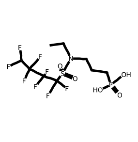 CCN(CCCP(=O)(O)O)S(=O)(=O)C(F)(F)C(F)(F)C(F)(F)C(F)F